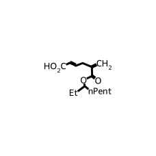 C=C(CC=CC(=O)O)C(=O)OC(CC)CCCCC